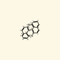 Nc1ccc2ccccc2c1-c1c(N)ccc2ccccc12